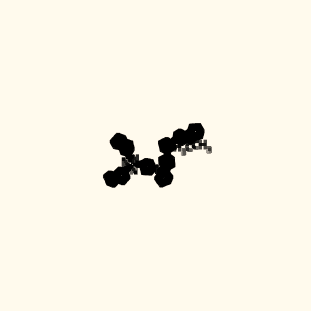 CC1(C)c2ccccc2-c2ccc(-c3cccc(-c4ccc5c6ccccc6n(-c6ccc(-c7nc(-c8ccc9ccccc9c8)nc(-c8ccc9ccccc9c8)n7)cc6)c5c4)c3)cc21